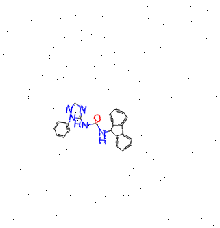 O=C(Nc1ncnn1-c1ccccc1)NC1c2ccccc2-c2ccccc21